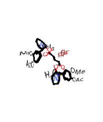 COc1cc(C[N+]2(C)C3CCC2CC(OC(=O)CCCC(=O)OC2CC4CCC(C2)[N+]4(C)Cc2ccc(OC(C)=O)c(OC)c2)C3)ccc1OC(C)=O.[Br-].[Br-]